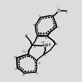 COc1ccc2c(c1)CC1NC2(C)c2ccccc21